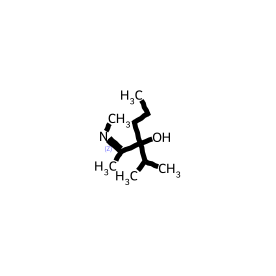 CCCC(O)(/C(C)=N\C)C(C)C